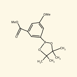 COC(=O)c1cc(OC)cc(B2OC(C)(C)C(C)(C)O2)c1